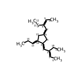 C/C=C(/C=C1\C/C(=C/C(=C\C)SC)C\C1=C/CC)CC